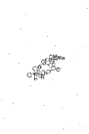 COc1ccc([C@@H](Cc2c(Cl)c[n+]([O-])cc2Cl)c2cc(COc3cccc([C@@H](NC(=O)O[C@H]4CN5CCC4CC5)c4ccccc4)c3)oc2C(=O)O)cc1OC